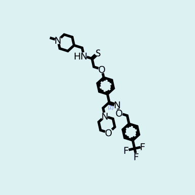 CN1CCC(CNC(=S)COc2ccc(/C(CN3CCOCC3)=N/OCc3ccc(C(F)(F)F)cc3)cc2)CC1